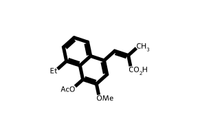 CCc1cccc2c(/C=C(/C)C(=O)O)cc(OC)c(OC(C)=O)c12